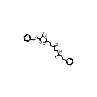 CC(OC(=O)CCC(=O)CNC(=O)OCc1ccccc1)C(=O)OCc1ccccc1